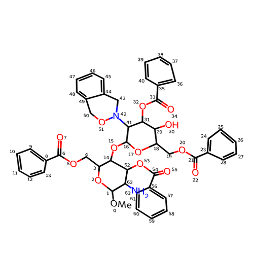 COC1OC(COC(=O)c2ccccc2)C(OC2OC(COC(=O)c3ccccc3)C(O)C(OC(=O)c3ccccc3)C2N2Cc3ccccc3CO2)C(OC(=O)c2ccccc2)C1N